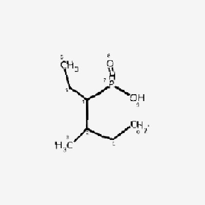 [CH2]CC(C)C(CC)[PH](=O)O